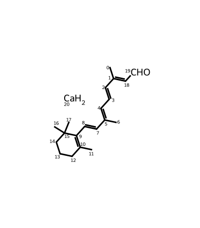 CC(C=CC=C(C)C=CC1=C(C)CCCC1(C)C)=CC=O.[CaH2]